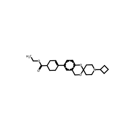 CCOC(=O)C1CC=C(c2ccc3c(c2)COC2(CCN(C4CCC4)CC2)O3)CC1